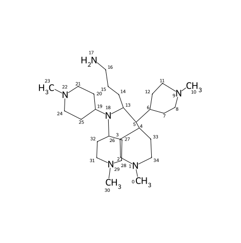 CN1CCC(C(C2CCN(C)CC2)C(CCCN)N(C2CCN(C)CC2)C2CCN(C)CC2)CC1